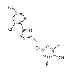 N#Cc1c(F)cc(OCc2nnc(-c3ncc(C(F)(F)F)cc3Cl)o2)cc1F